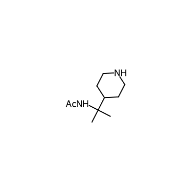 CC(=O)NC(C)(C)C1CCNCC1